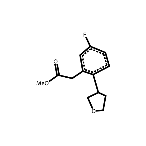 COC(=O)Cc1cc(F)ccc1C1CCOC1